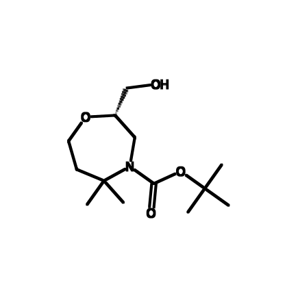 CC(C)(C)OC(=O)N1C[C@@H](CO)OCCC1(C)C